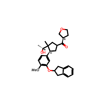 COc1ccc([C@@H]2CC(C(=O)[C@@H]3CCOC3)CC2(C)[C@@H](C)O)cc1OC1Cc2ccccc2C1